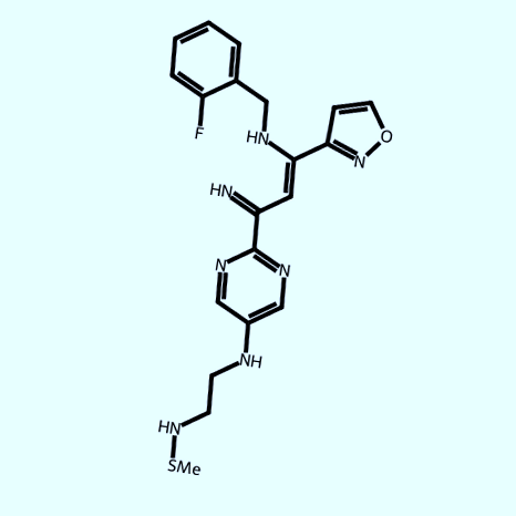 CSNCCNc1cnc(C(=N)/C=C(\NCc2ccccc2F)c2ccon2)nc1